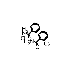 NC(=O)c1ccccc1.NC(=O)c1ccccc1.[Cl-].[Cs+]